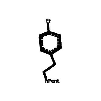 [CH2]Cc1ccc(CCCCCCC)cc1